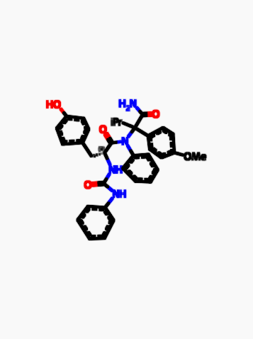 COc1ccc(C(C(N)=O)(C(C)C)N(C(=O)[C@@H](Cc2ccc(O)cc2)NC(=O)Nc2ccccc2)c2ccccc2)cc1